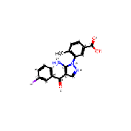 Cc1ccc(C(=O)O)cc1-n1ncc(C(=O)c2cccc(I)c2)c1N